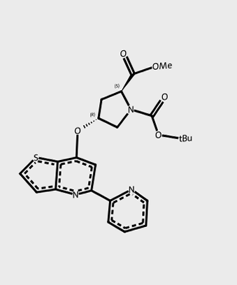 COC(=O)[C@@H]1C[C@@H](Oc2cc(-c3ccccn3)nc3ccsc23)CN1C(=O)OC(C)(C)C